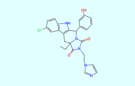 CCC12Cc3c([nH]c4ccc(Cl)cc34)C(c3cccc(O)c3)N1C(=O)N(CCn1ccnc1)C2=O